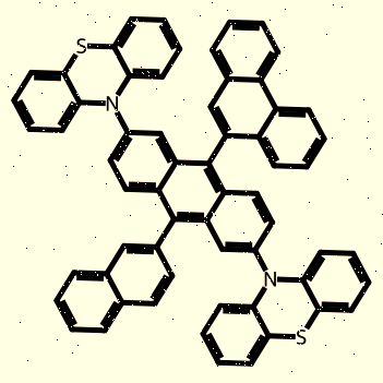 c1ccc2c(c1)Sc1ccccc1N2c1ccc2c(-c3cc4ccccc4c4ccccc34)c3cc(N4c5ccccc5Sc5ccccc54)ccc3c(-c3ccc4ccccc4c3)c2c1